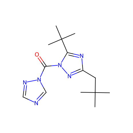 CC(C)(C)Cc1nc(C(C)(C)C)n(C(=O)n2cncn2)n1